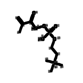 C=C(C)C(=O)NOP(=O)(O)OCC[N+](C)(C)C